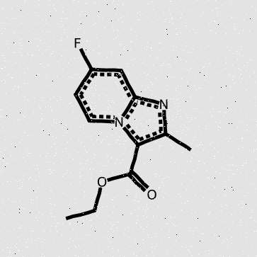 CCOC(=O)c1c(C)nc2cc(F)ccn12